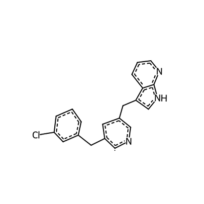 Clc1cccc(Cc2[c]ncc(Cc3c[nH]c4ncccc34)c2)c1